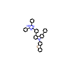 c1ccc(C2=NC(c3cccc(-c4cccc5c4c4cc(-c6ccccc6)ccc4n5-c4ccc5c(c4)sc4ccccc45)c3)=NC(c3ccccc3)N2)cc1